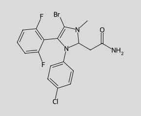 CN1C(Br)=C(c2c(F)cccc2F)N(c2ccc(Cl)cc2)C1CC(N)=O